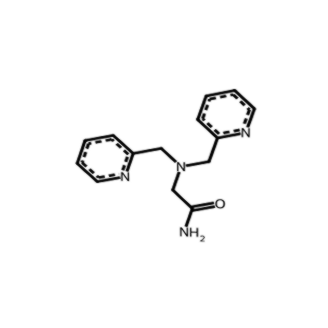 NC(=O)CN(Cc1ccccn1)Cc1ccccn1